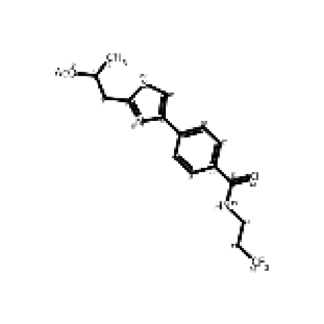 CC(=O)OC(C)Cc1nc(-c2ccc(C(=O)NCCC(F)(F)F)cc2)cs1